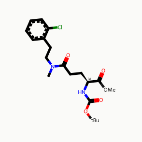 COC(=O)[C@H](CCC(=O)N(C)CCc1ccccc1Cl)NC(=O)OC(C)(C)C